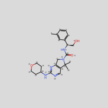 Cc1cccc([C@@H](CO)NC(=O)N2Cc3nc(NC4CCOCC4)ncc3C2(C)C)c1